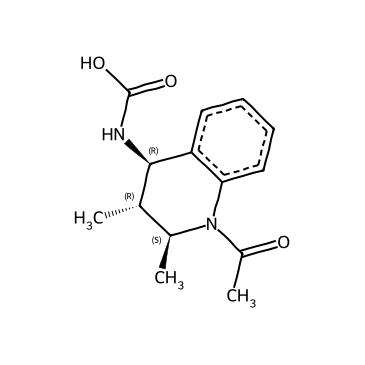 CC(=O)N1c2ccccc2[C@H](NC(=O)O)[C@@H](C)[C@@H]1C